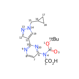 CC(C)(C)OC(=O)N(C(=O)O)c1ccnc(-c2cnn(CC3CC3)c2)n1